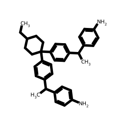 CCC1CCC(c2ccc(C(C)c3ccc(N)cc3)cc2)(c2ccc(C(C)c3ccc(N)cc3)cc2)CC1